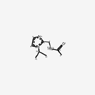 CC(=O)NCc1nccn1C(C)C